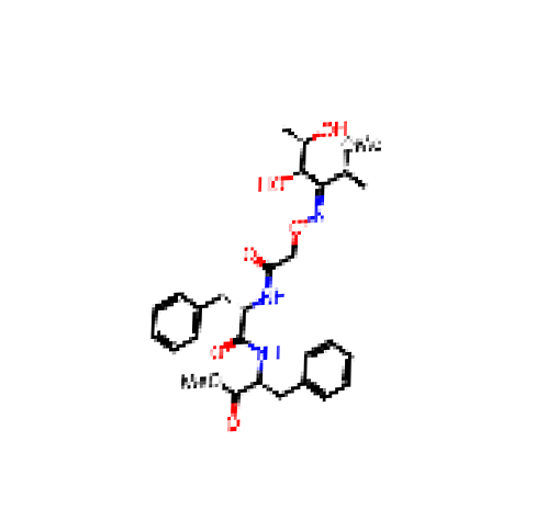 COC(=O)[C@H](Cc1ccccc1)NC(=O)[C@H](Cc1ccccc1)NC(=O)CO/N=C(/[C@H](C)OC)[C@@H](O)[C@@H](C)O